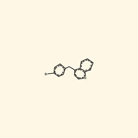 Brc1ccc(Cc2ccnc3ccccc23)cc1